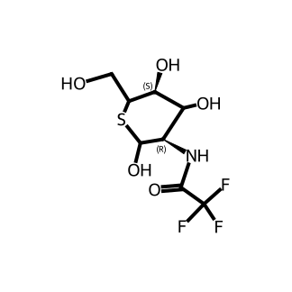 O=C(N[C@H]1C(O)SC(CO)[C@@H](O)C1O)C(F)(F)F